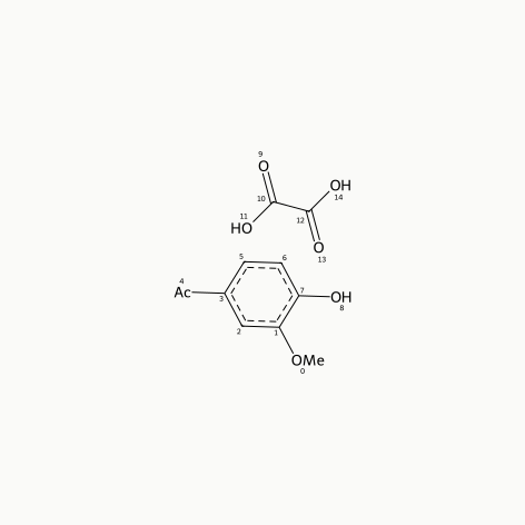 COc1cc(C(C)=O)ccc1O.O=C(O)C(=O)O